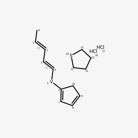 C/C=C/C=[CH]/[V][C]1=CC=CC1.C1CCSC1.Cl.Cl